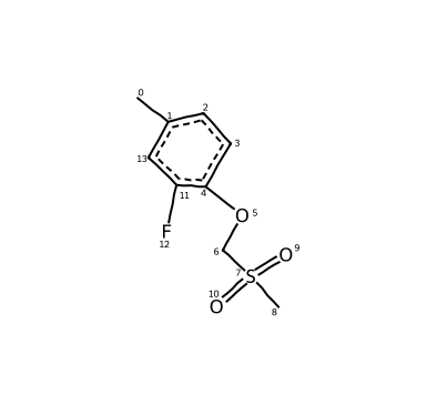 Cc1ccc(OCS(C)(=O)=O)c(F)c1